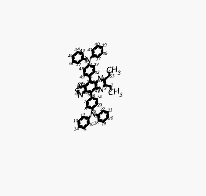 CCc1nc2c(-c3ccc(N(c4ccccc4)c4ccccc4)cc3)c3nsnc3c(-c3ccc(N(c4ccccc4)c4ccccc4)cc3)c2nc1CC